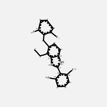 CCc1c(Cc2c(F)cccc2F)ccc2[nH]c(-c3c(F)cccc3F)nc12